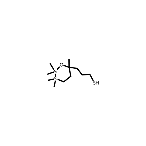 CC1(CCCS)CC[Si](C)(C)[Si](C)(C)O1